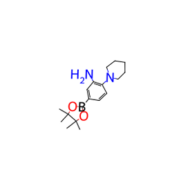 CC1(C)OB(c2ccc(N3CCCCC3)c(N)c2)OC1(C)C